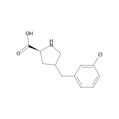 O=C(O)[C@@H]1CC(Cc2cccc(Cl)c2)CN1